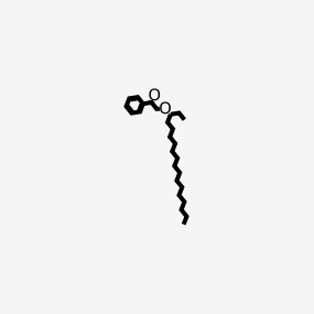 CCCCCCCCCCCCCCCC(CC)OCC(=O)c1ccccc1